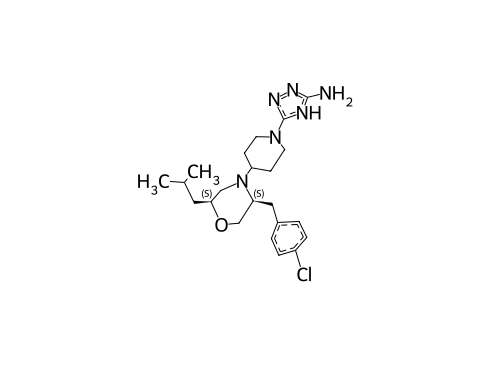 CC(C)C[C@H]1CN(C2CCN(c3nnc(N)[nH]3)CC2)[C@@H](Cc2ccc(Cl)cc2)CO1